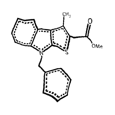 COC(=O)c1sc2c(c1C)c1ccccc1n2Cc1ccccc1